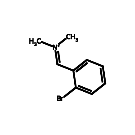 C[N+](C)=Cc1ccccc1Br